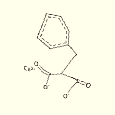 O=C([O-])C(Cc1ccccc1)C(=O)[O-].[Ca+2]